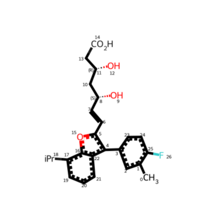 Cc1cc(-c2c(C=C[C@@H](O)C[C@@H](O)CC(=O)O)oc3c(C(C)C)cccc23)ccc1F